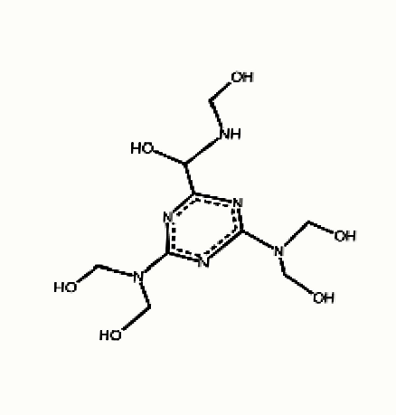 OCNC(O)c1nc(N(CO)CO)nc(N(CO)CO)n1